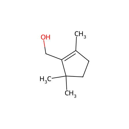 CC1=C(CO)C(C)(C)CC1